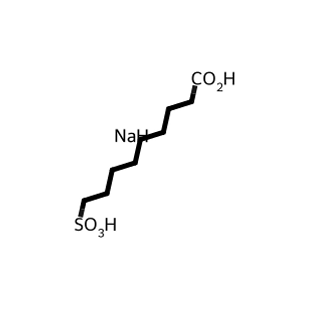 O=C(O)CCCCCCCCS(=O)(=O)O.[NaH]